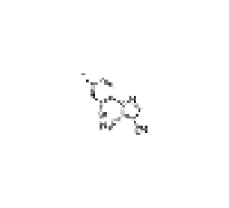 N#Cc1cnn(-c2ccc(F)cc2Br)c1N